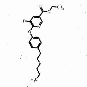 CCCCCCc1ccc(Oc2ncc(C(=O)OCC)cc2F)cc1